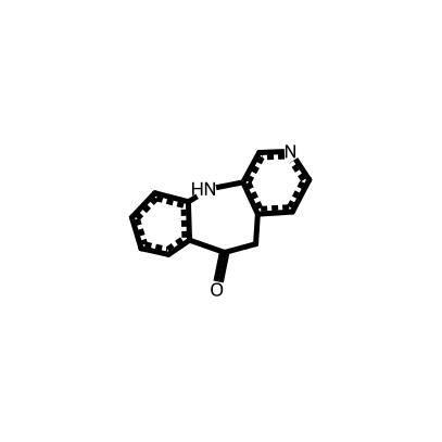 O=C1Cc2ccncc2Nc2ccccc21